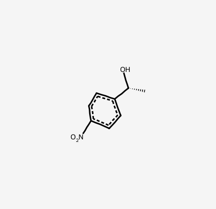 C[C@@H](O)c1ccc([N+](=O)[O-])cc1